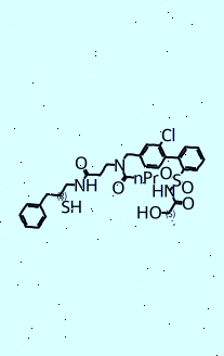 CCCC(=O)N(CCC(=O)NC[C@H](S)Cc1ccccc1)Cc1ccc(-c2ccccc2S(=O)(=O)NC(=O)[C@H](C)O)c(Cl)c1